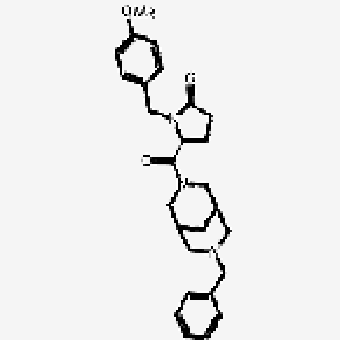 COc1ccc(CN2C(=O)CC[C@H]2C(=O)N2CC3CC(CN(Cc4ccccc4)C3)C2)cc1